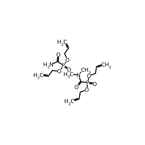 C=CCOP(=O)(OCC=C)C(=O)N(C)C.C=CCOP(=O)(OCC=C)C(N)=O